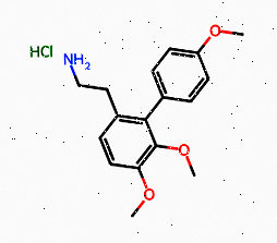 COc1ccc(-c2c(CCN)ccc(OC)c2OC)cc1.Cl